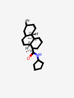 CC(C)C1CC[C@H]2C(CC[C@@H]3[C@]2(C)CCC[C@@]3(C)C(=O)NC2CCCC2)C1